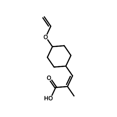 C=COC1CCC(C=C(C)C(=O)O)CC1